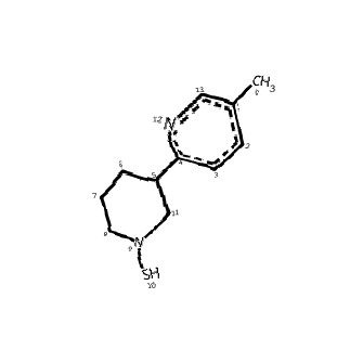 Cc1ccc(C2CCCN(S)C2)nc1